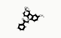 Cc1ccc2c(c1)c1c(n2CC(=O)c2ccccc2)CCN(C)C1